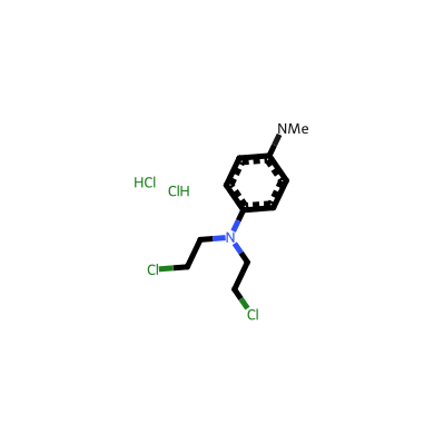 CNc1ccc(N(CCCl)CCCl)cc1.Cl.Cl